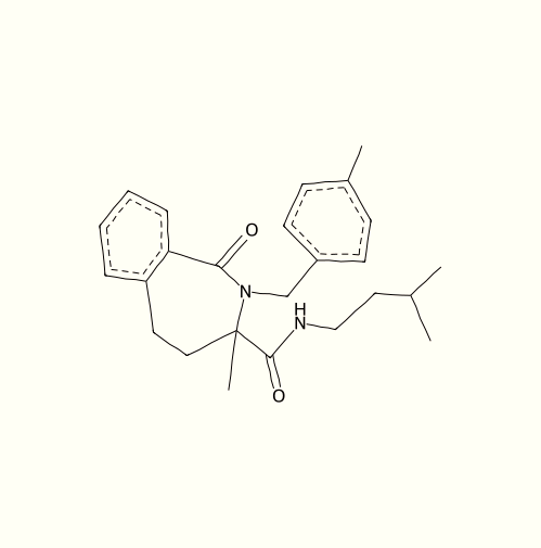 Cc1ccc(CN2C(=O)c3ccccc3CCC2(C)C(=O)NCCC(C)C)cc1